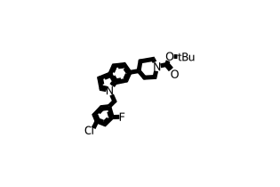 CC(C)(C)OC(=O)N1CCC(c2ccc3ccn(Cc4ccc(Cl)cc4F)c3c2)CC1